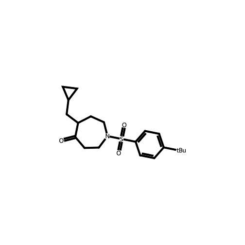 CC(C)(C)c1ccc(S(=O)(=O)N2CCC(=O)C(CC3CC3)CC2)cc1